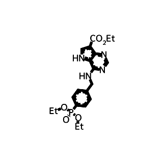 CCOC(=O)c1c[nH]c2c(NCc3ccc(P(=O)(OCC)OCC)cc3)ncnc12